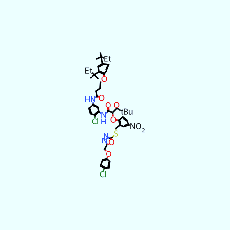 CCC(C)(C)c1ccc(OCCCC(=O)Nc2ccc(Cl)c(NC(=O)C(Oc3ccc([N+](=O)[O-])cc3CSc3nnc(COc4ccc(Cl)cc4)o3)C(=O)C(C)(C)C)c2)c(C(C)(C)CC)c1